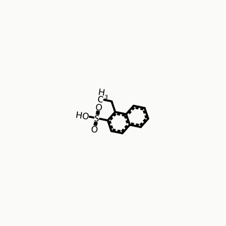 CCc1c(S(=O)(=O)O)ccc2ccccc12